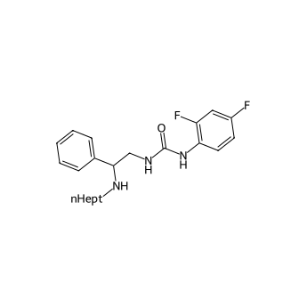 CCCCCCCNC(CNC(=O)Nc1ccc(F)cc1F)c1ccccc1